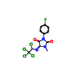 CN1C(=O)N(c2ccc(F)cc2)C(=O)C1=NC(Cl)C(Cl)(Cl)Cl